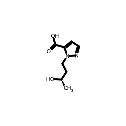 C[C@@H](O)CCn1nccc1C(=O)O